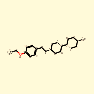 CCC[C@H]1CC[C@H]([C@H]2CC[C@H](CCc3ccc(OCC(F)(F)F)cc3)CC2)CC1